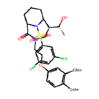 COc1ccc(OCCN2C[C@H]([C@@H](C)O)C3CCCC(C2=O)N3S(=O)(=O)c2cc(Cl)cc(Cl)c2)cc1OC